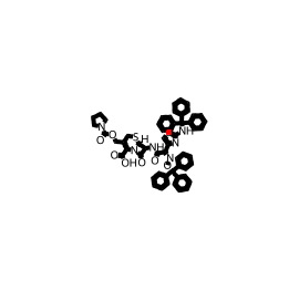 O=C(O)C1=C(COC(=O)N2CCCC2)CS[C@H]2C(NC(=O)/C(=N\OC(c3ccccc3)(c3ccccc3)c3ccccc3)c3csc(NC(c4ccccc4)(c4ccccc4)c4ccccc4)n3)C(=O)N12